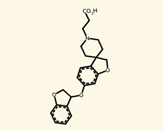 O=C(O)CCN1CCC2(CC1)COc1cc(OC3COc4ccccc43)ccc12